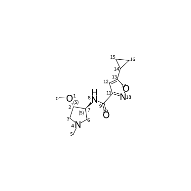 CO[C@H]1CN(C)C[C@@H]1NC(=O)c1cc(C2CC2)on1